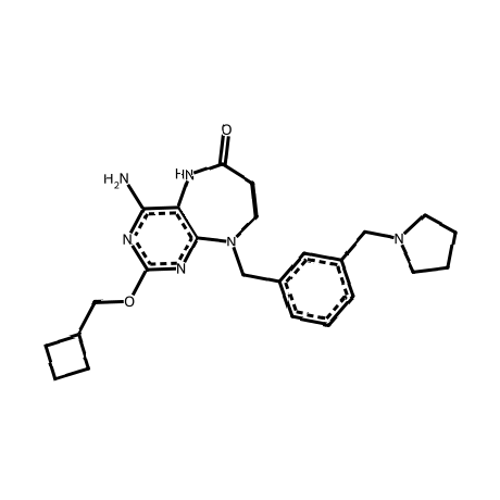 Nc1nc(OCC2CCC2)nc2c1NC(=O)CCN2Cc1cccc(CN2CCCC2)c1